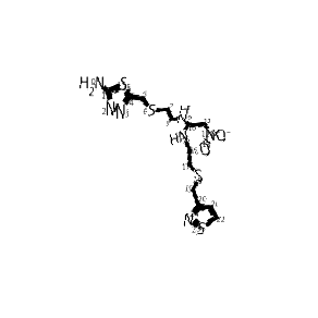 Nc1nnc(CSCCNC(=C[N+](=O)[O-])NCCSCc2ccsn2)s1